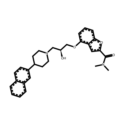 CN(C)C(=O)c1cc2c(OC[C@@H](O)CN3CCC(c4ccc5ccccc5c4)CC3)cccc2o1